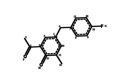 CC(=O)c1cn(Cc2ccc(F)cc2)cc(C)c1=O